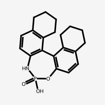 O=P1(O)Nc2ccc3c(c2-c2c(ccc4c2CCCC4)O1)CCCC3